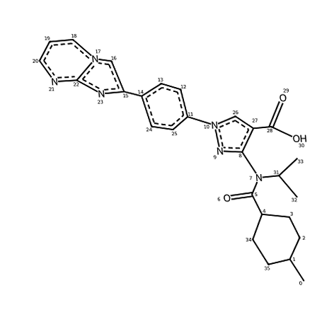 CC1CCC(C(=O)N(c2nn(-c3ccc(-c4cn5cccnc5n4)cc3)cc2C(=O)O)C(C)C)CC1